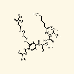 CCCCCC(=O)N[C@H](C(=O)N[C@@H](C)C(=O)Nc1ccc(COC(C)=O)c(CCCOCCCS(=O)(=O)O)c1)C(C)C